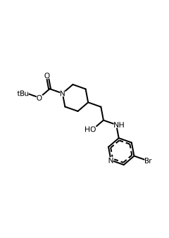 CC(C)(C)OC(=O)N1CCC(CC(O)Nc2cncc(Br)c2)CC1